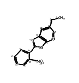 NCc1cnc2sc(-c3ccccc3[N+](=O)[O-])nc2c1